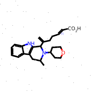 C=C(CC/C=C/C(=O)O)C1c2[nH]c3ccccc3c2CC(C)N1C1CCOCC1